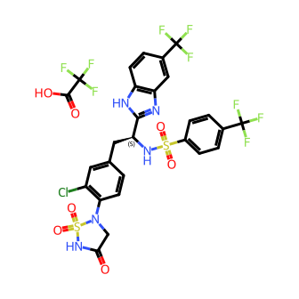 O=C(O)C(F)(F)F.O=C1CN(c2ccc(C[C@H](NS(=O)(=O)c3ccc(C(F)(F)F)cc3)c3nc4cc(C(F)(F)F)ccc4[nH]3)cc2Cl)S(=O)(=O)N1